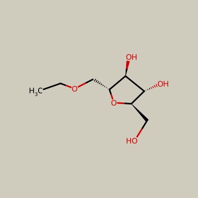 CCOC[C@H]1O[C@H](CO)[C@@H](O)[C@@H]1O